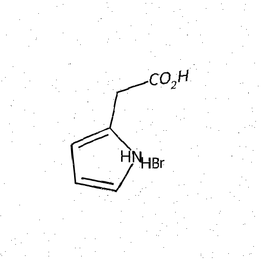 Br.O=C(O)Cc1ccc[nH]1